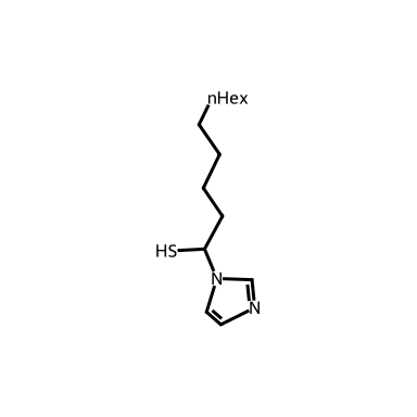 CCCCCCCCCCC(S)n1ccnc1